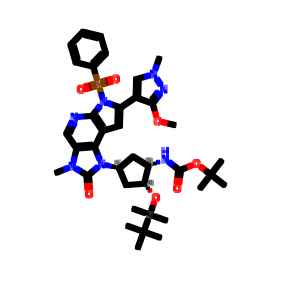 COc1nn(C)cc1-c1cc2c(ncc3c2n([C@H]2C[C@H](NC(=O)OC(C)(C)C)[C@H](O[Si](C)(C)C(C)(C)C)C2)c(=O)n3C)n1S(=O)(=O)c1ccccc1